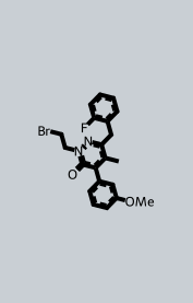 COc1cccc(-c2c(C)c(Cc3ccccc3F)nn(CCBr)c2=O)c1